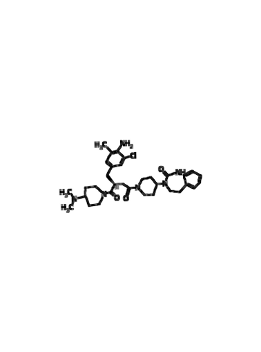 Cc1cc(C[C@@H](CC(=O)N2CCC(N3CCc4ccccc4NC3=O)CC2)C(=O)N2CCC(N(C)C)CC2)cc(Cl)c1N